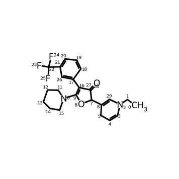 CCN1C=CCC(C2OC(N3CCCCC3)=C(c3cccc(C(F)(F)F)c3)C2=O)=C1